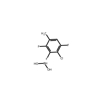 Cc1cc(F)c(Cl)c(F)c1F.OBO